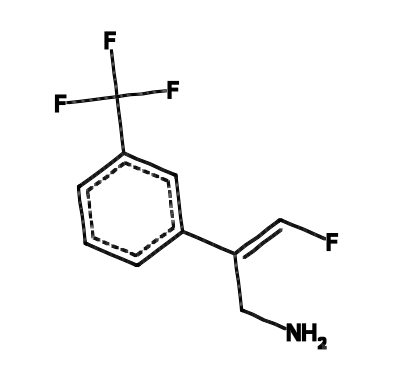 NCC(=CF)c1cccc(C(F)(F)F)c1